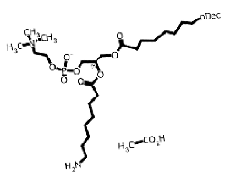 CC(=O)O.CCCCCCCCCCCCCCCCCC(=O)OC[C@H](COP(=O)([O-])OCC[N+](C)(C)C)OC(=O)CCCCCCCN